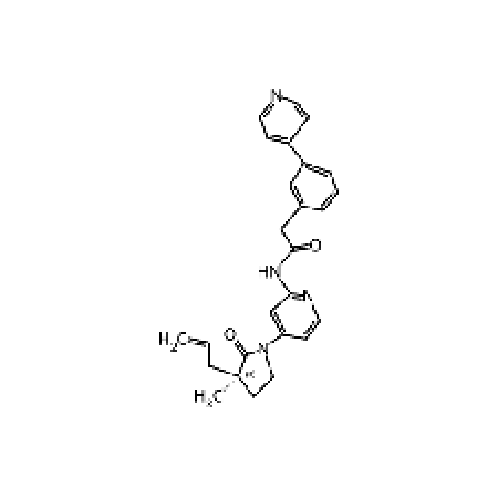 C=CC[C@]1(C)CCN(c2ccnc(NC(=O)Cc3cccc(-c4ccncc4)c3)c2)C1=O